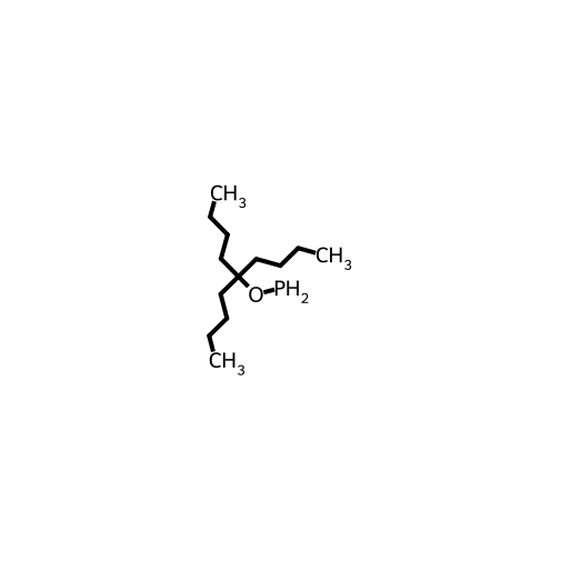 CCCCC(CCCC)(CCCC)OP